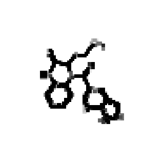 CCCC1C(=O)Nc2ccccc2N1C(=O)c1cnc2[nH]ncc2c1